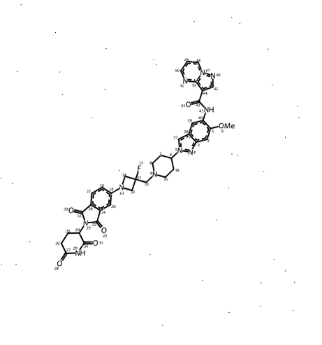 COc1cc2nn(C3CCN(CC4(F)CN(c5ccc6c(c5)C(=O)N(C5CCC(=O)NC5=O)C6=O)C4)CC3)cc2cc1NC(=O)c1cnn2cccnc12